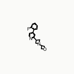 Fc1ccccc1-c1ccnc(C2CN(C3COC3)C2)c1